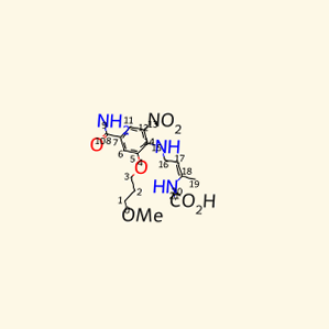 COCCCOc1cc(C(N)=O)cc([N+](=O)[O-])c1NC/C=C(/C)NC(=O)O